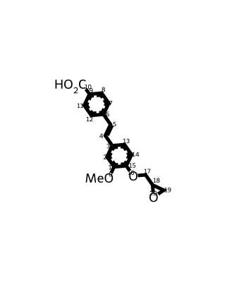 COc1cc(/C=C/c2ccc(C(=O)O)cc2)ccc1OCC1CO1